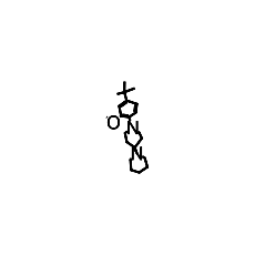 COc1cc(C(C)(C)C)ccc1N1CCC(N2CCCCC2)CC1